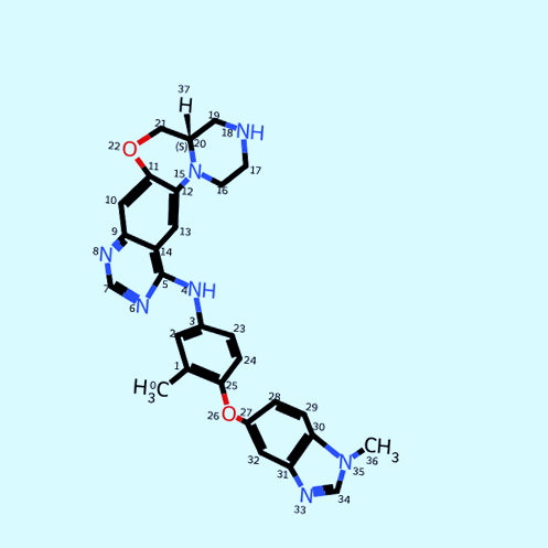 Cc1cc(Nc2ncnc3cc4c(cc23)N2CCNC[C@H]2CO4)ccc1Oc1ccc2c(c1)ncn2C